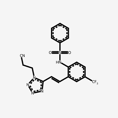 N#CCCn1nnnc1/C=C/c1cc(C(F)(F)F)ccc1NS(=O)(=O)c1ccccc1